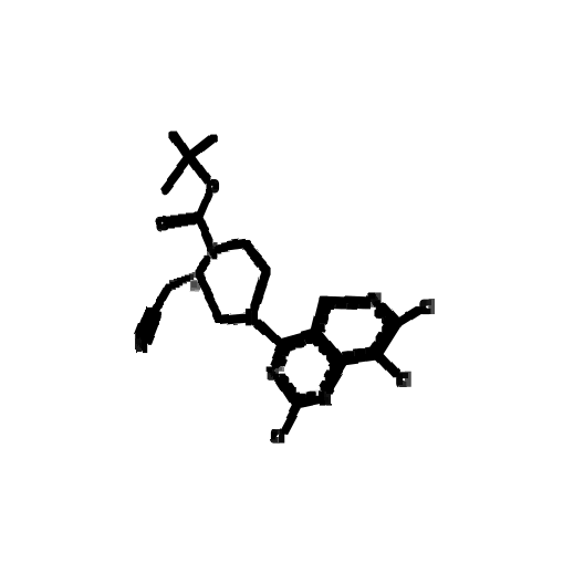 CC(C)(C)OC(=O)N1CCN(c2nc(Cl)nc3c(Cl)c(Cl)ncc23)C[C@@H]1CC#N